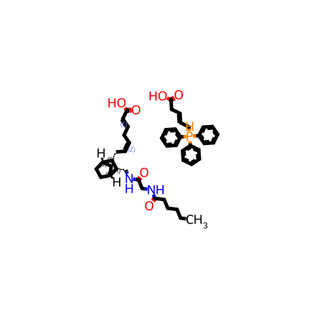 CCCCCC(=O)NCC(=O)NC[C@@H]1[C@@H]2CC[C@@H](C2)[C@@H]1C/C=C\C/C=C/C(=O)O.O=C(O)CC=CC[PH](c1ccccc1)(c1ccccc1)c1ccccc1